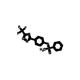 CS(=O)(=Nc1ccc(-c2noc(C(F)(F)F)n2)cc1)c1ccccc1